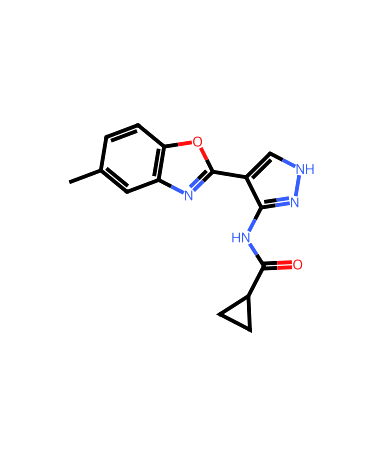 Cc1ccc2oc(-c3c[nH]nc3NC(=O)C3CC3)nc2c1